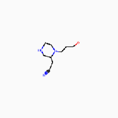 N#CCC1CNCCN1CCC[O]